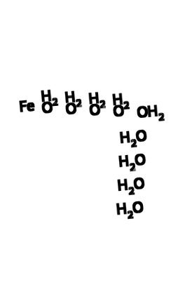 O.O.O.O.O.O.O.O.O.[Fe]